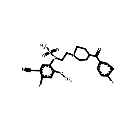 COc1cc(Cl)c(C#N)cc1N(CCN1CCC(C(=O)c2ccc(F)cc2)CC1)S(C)(=O)=O